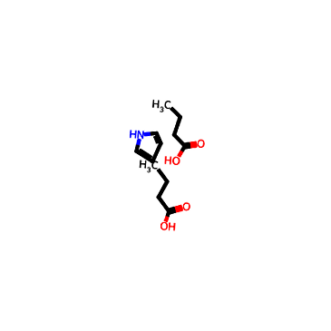 CCCC(=O)O.CCCC(=O)O.c1cc[nH]c1